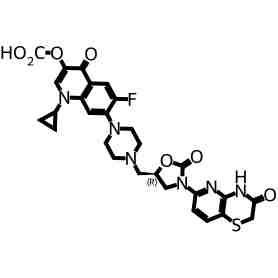 O=C1CSc2ccc(N3C[C@@H](CN4CCN(c5cc6c(cc5F)c(=O)c(OC(=O)O)cn6C5CC5)CC4)OC3=O)nc2N1